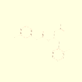 Cc1ccccc1CC(CC(=O)O)NC(=O)Cc1cccc(Cl)c1